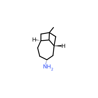 CC12C[C@@H]3CC[C@@H](N)C[C@@H](C1)C32